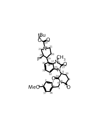 COc1ccc(CN2C(=O)CCC(n3c(=O)n(C)c4c(C5CCN(C(=O)OC(C)(C)C)CC5F)cccc43)C2=O)cc1